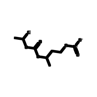 CC(Cl)OC(=O)OC(C)CCO[N+](=O)[O-]